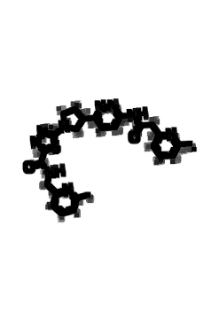 Cc1cccc(CNC(=O)c2nnc(N3CCC(c4ccc(NC(=O)Cc5cccc(C)n5)nn4)C3)s2)n1